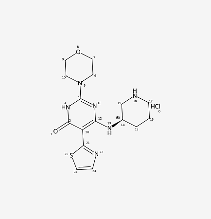 Cl.O=c1[nH]c(N2CCOCC2)nc(N[C@@H]2CCCNC2)c1-c1nccs1